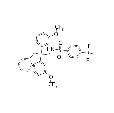 CC(F)(F)c1ccc(S(=O)(=O)NCC(Cc2ccccc2)(c2cccc(OC(F)(F)F)c2)c2cccc(OC(F)(F)F)c2)cc1